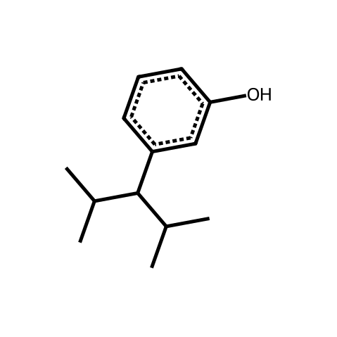 CC(C)C(c1cccc(O)c1)C(C)C